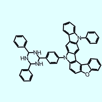 c1ccc(C2NC(c3ccccc3)NC(c3ccc(-n4c5cc6c7ccccc7n(-c7ccccc7)c6cc5c5c6c(ccc54)oc4ccccc46)cc3)N2)cc1